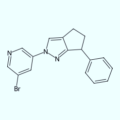 Brc1cncc(-n2cc3c(n2)C(c2ccccc2)CC3)c1